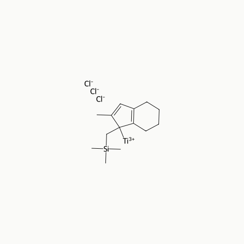 CC1=CC2=C(CCCC2)[C]1([Ti+3])C[Si](C)(C)C.[Cl-].[Cl-].[Cl-]